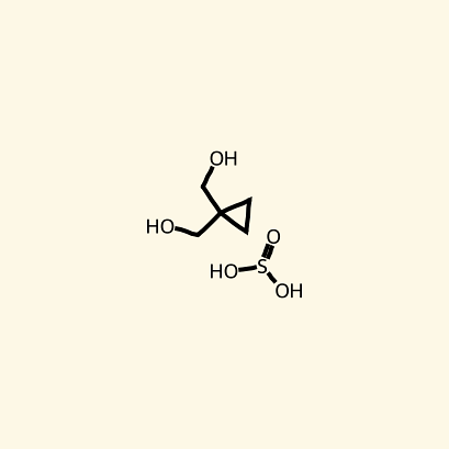 O=S(O)O.OCC1(CO)CC1